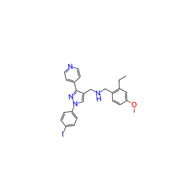 CCc1cc(OC)ccc1CNCc1cn(-c2ccc(I)cc2)nc1-c1ccncc1